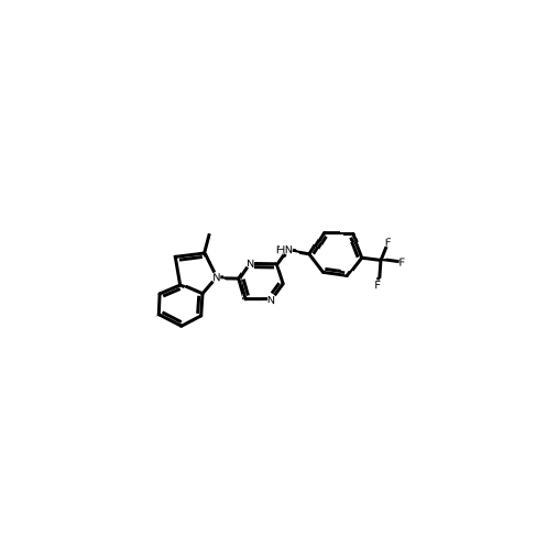 Cc1cc2ccccc2n1-c1cncc(Nc2ccc(C(F)(F)F)cc2)n1